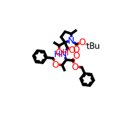 CC(OCc1ccccc1)C(NC(=O)C1(C(C)O)CCC(C)N1C(=O)OC(C)(C)C)C(=O)OCc1ccccc1